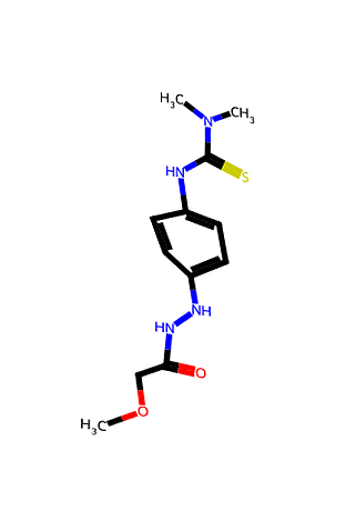 COCC(=O)NNc1ccc(NC(=S)N(C)C)cc1